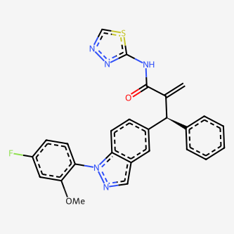 C=C(C(=O)Nc1nncs1)[C@@H](c1ccccc1)c1ccc2c(cnn2-c2ccc(F)cc2OC)c1